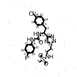 CS(=O)(=O)NCCn1nnc(C(Cc2ccc(Cl)cc2)NC(=O)Nc2ccc(F)cc2)n1